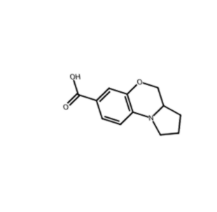 O=C(O)c1ccc2c(c1)OCC1CCCN21